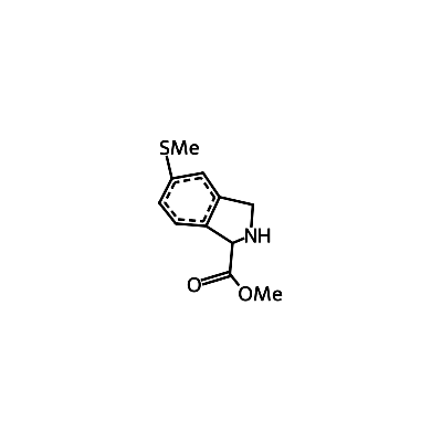 COC(=O)C1NCc2cc(SC)ccc21